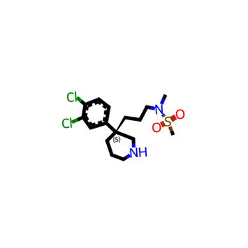 CN(CCC[C@]1(c2ccc(Cl)c(Cl)c2)CCCNC1)S(C)(=O)=O